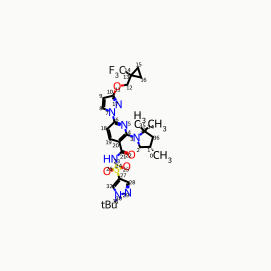 C[C@@H]1CN(c2nc(-n3ccc(OCC4(C(F)(F)F)CC4)n3)ccc2C(=O)NS(=O)(=O)c2cnn(C(C)(C)C)c2)C(C)(C)C1